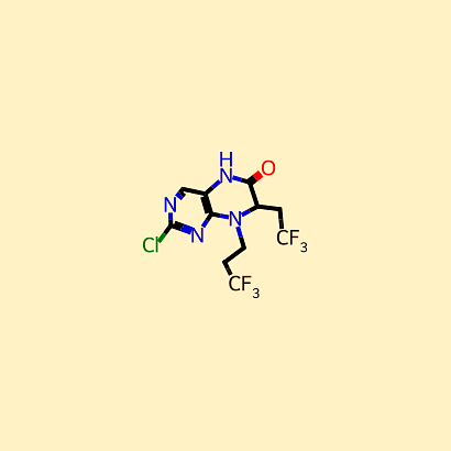 O=C1Nc2cnc(Cl)nc2N(CCC(F)(F)F)C1CC(F)(F)F